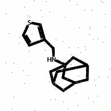 c1cc(CNC23CC4CC(CC(C4)C2)C3)cs1